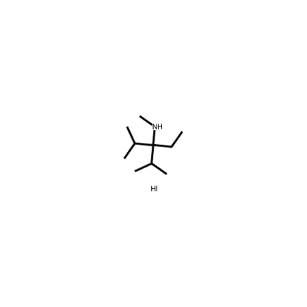 CCC(NC)(C(C)C)C(C)C.I